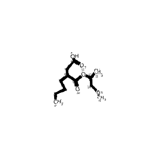 CCCCC(CC(=O)O)C(=O)OC(C)COC